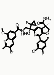 COc1cc(C(=O)NC[C@](O)(c2cc3c(c(-c4cc(Cl)c(F)cc4F)n2)OC[C@]3(C)C(N)=O)C2(F)CC2)cc2cc(Br)c(C)nc12